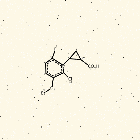 CCOc1ccc(F)c(C2CC2C(=O)O)c1Cl